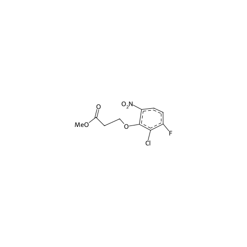 COC(=O)CCOc1c([N+](=O)[O-])ccc(F)c1Cl